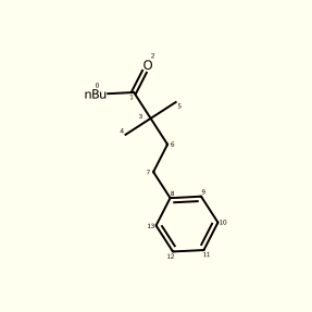 CCCCC(=O)C(C)(C)CCc1ccccc1